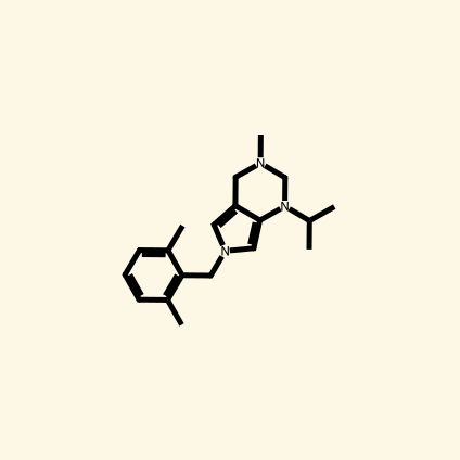 Cc1cccc(C)c1Cn1cc2c(c1)N(C(C)C)CN(C)C2